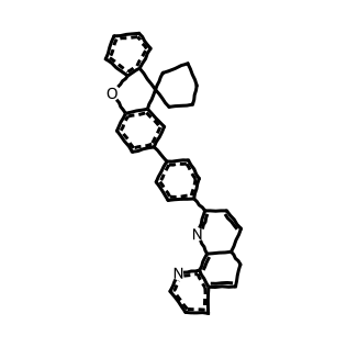 C1=CC2CC=c3cccnc3=C2N=C1c1ccc(-c2ccc3c(c2)C2(CCCCC2)c2ccccc2O3)cc1